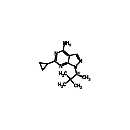 C[C@H](n1ncc2c(N)nc(C3CC3)nc21)C(C)(C)C